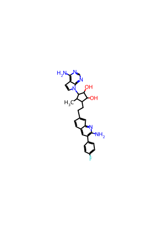 CC1C(CCc2ccc3cc(-c4ccc(F)cc4)c(N)nc3c2)C(O)C(O)C1n1ccc2c(N)ncnc21